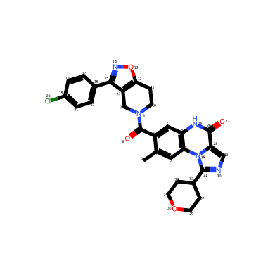 Cc1cc2c(cc1C(=O)N1CCc3onc(-c4ccc(Cl)cc4)c3C1)[nH]c(=O)c1cnc(C3CCOCC3)n12